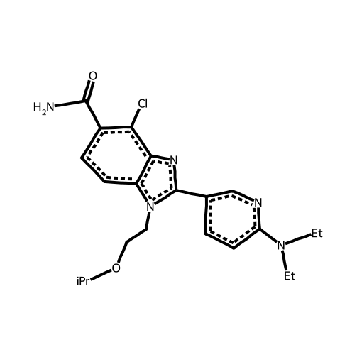 CCN(CC)c1ccc(-c2nc3c(Cl)c(C(N)=O)ccc3n2CCOC(C)C)cn1